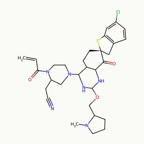 C=CC(=O)N1CCN(C2NC(OCC3CCCN3C)NC3C(=O)[C@@]4(CCC32)Cc2ccc(Cl)cc2S4)CC1CC#N